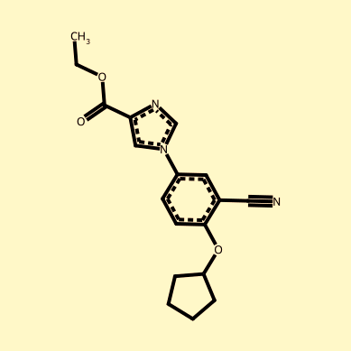 CCOC(=O)c1cn(-c2ccc(OC3CCCC3)c(C#N)c2)cn1